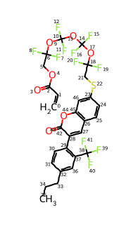 C=CC(=O)OCC(F)(F)OC(F)(F)OC(F)(F)OC(F)(F)CSc1ccc2cc(-c3ccc(CCC)cc3C(F)(F)F)c(=O)oc2c1